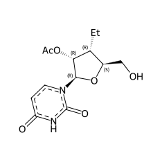 CC[C@H]1[C@@H](OC(C)=O)[C@H](n2ccc(=O)[nH]c2=O)O[C@@H]1CO